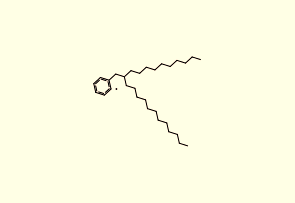 CCCCCCCCCCCCC(CCCCCCCCCC)Cc1[c]cccc1